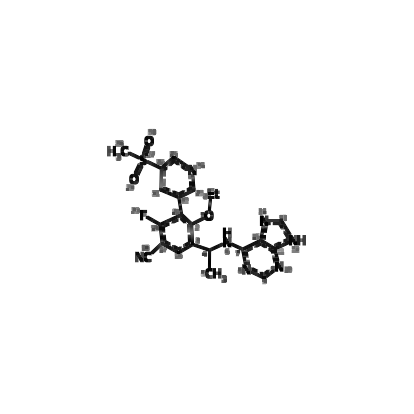 CCOc1c(C(C)Nc2ncnc3[nH]cnc23)cc(C#N)c(F)c1-c1cncc(S(C)(=O)=O)c1